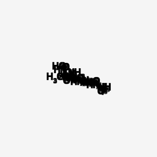 CCCN(CCCNC(=O)O)C(=O)C1=Cc2ccc(C(=O)Nc3ccc(N4CCC(C(=O)NCCNC(=O)C(F)(F)F)CC4)nc3)cc2N=C(N)C1